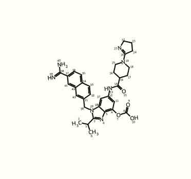 CC(C)c1nc2c(OC(=O)O)cc(NC(=O)C3CCN(C4=NCCC4)CC3)cc2n1Cc1ccc2ccc(C(=N)N)cc2c1